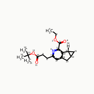 CCOC(=O)c1nc(CCC(=O)OC(C)(C)C)cc2c1[C@@H]1CC1C2